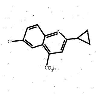 O=C(O)c1cc(C2CC2)nc2ccc(Cl)cc12